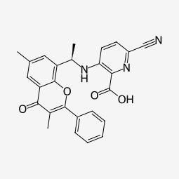 Cc1cc([C@@H](C)Nc2ccc(C#N)nc2C(=O)O)c2oc(-c3ccccc3)c(C)c(=O)c2c1